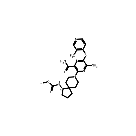 CC(C)(C)OC(=O)N[C@@H]1CCCC12CCN(c1nc(N)c(Sc3ccncc3C(F)(F)F)nc1C(N)=O)CC2